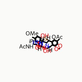 COc1c(C)cc2c(c1O)[C@H]1C3[C@@H]4SCC(NC(=O)C(NC(C)=O)C(C)C)C(=O)OC[C@@H](c5c6c(c(C)c(OC(C)=O)c54)OCO6)N3[C@@H](O)[C@@H](C2)N1C